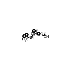 C[C@@H](NCCC1CN(c2ccc(OCC(=O)O)cc2F)c2ccccc2O1)c1cccc2ccccc12